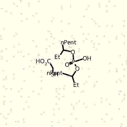 CCCCCC(CC)OP(=O)(O)OC(CC)CCCCC.O=C(O)CS